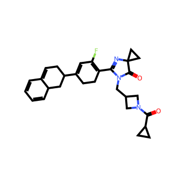 O=C(C1CC1)N1CC(CN2C(=O)C3(CC3)N=C2C2=C(F)C=C(C3CC=C4C=CC=CC4C3)CC2)C1